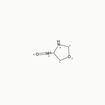 C1COCN1.N=O